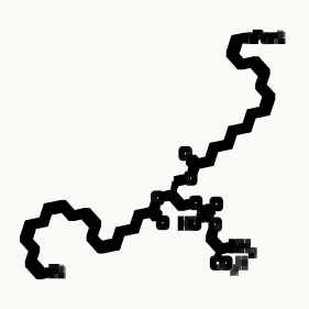 CC/C=C\C/C=C\C/C=C\C/C=C\C/C=C\CCCC(=O)O[C@H](COC(=O)CCCCCC/C=C\C/C=C\C/C=C\CCCCC)COP(=O)(O)OC[C@H](N)C(=O)O